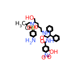 CC(C)CN(C(CO)CCCCNC(=O)C(NC(=O)c1ccc([N+](=O)[O-])c(O)c1)C(c1ccccc1)c1ccccc1)S(=O)(=O)c1ccc(N)cc1